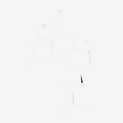 CCN(CC)C(=S)N[C@H]1CC2c3cc(C)cc4[nH]c(Br)c(c34)C[C@H]2N(C)C1